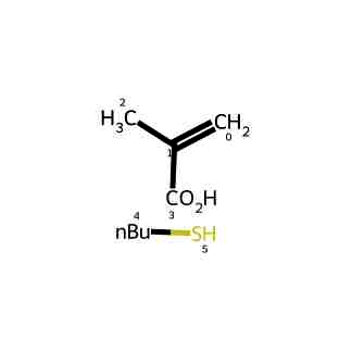 C=C(C)C(=O)O.CCCCS